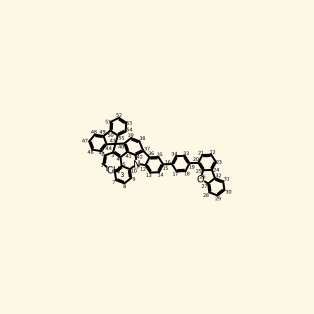 C/C=C\C1=c2c3ccccc3n3c4ccc(-c5ccc(-c6cccc7c6oc6ccccc67)cc5)cc4c4ccc(c2c43)C12c1ccccc1-c1ccccc12